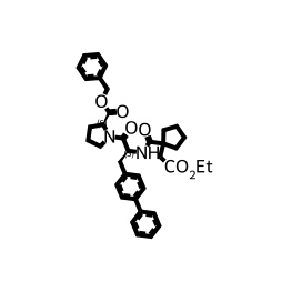 CCOC(=O)CC1(C(=O)N[C@@H](Cc2ccc(-c3ccccc3)cc2)C(=O)N2CCC[C@H]2C(=O)OCc2ccccc2)CCCC1